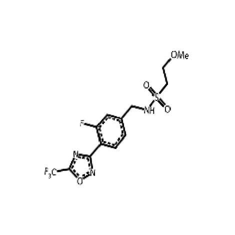 COCCS(=O)(=O)NCc1ccc(-c2noc(C(F)(F)F)n2)c(F)c1